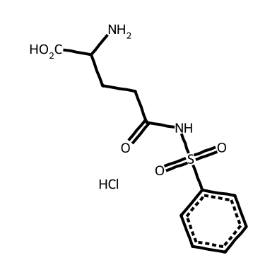 Cl.NC(CCC(=O)NS(=O)(=O)c1ccccc1)C(=O)O